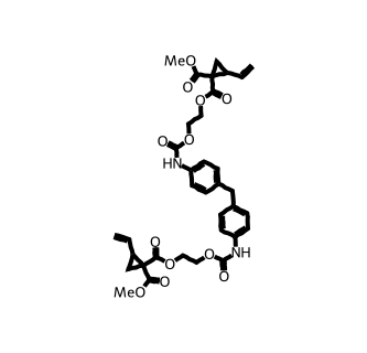 C=CC1CC1(C(=O)OC)C(=O)OCCOC(=O)Nc1ccc(Cc2ccc(NC(=O)OCCOC(=O)C3(C(=O)OC)CC3C=C)cc2)cc1